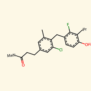 CNC(=O)CCc1cc(C)c(Cc2ccc(O)c(C(C)C)c2F)c(Cl)c1